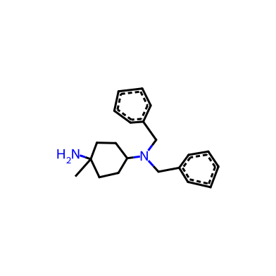 CC1(N)CCC(N(Cc2ccccc2)Cc2ccccc2)CC1